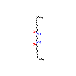 CSCCCCCCC(=O)NCCCNC(=O)CCCCCCSC